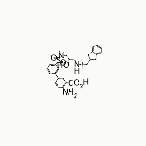 CN(C[C@H](O)CNC(C)(C)CC1Cc2ccccc2C1)S(=O)(=O)c1cccc(-c2ccc(N)c(C(=O)O)c2)c1